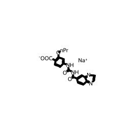 CCCOc1cc(NC(=O)NC(=O)c2ccc3nccnc3c2)ccc1C(=O)[O-].[Na+]